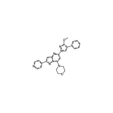 COc1nn(-c2cc(N3CCOCC3)n3nc(-c4ccncc4)cc3n2)cc1-c1ccccc1